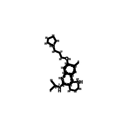 Cc1cc2c3c(c(NC(C)C)nc2cc1OCCCN1CCCC1)CCCN3